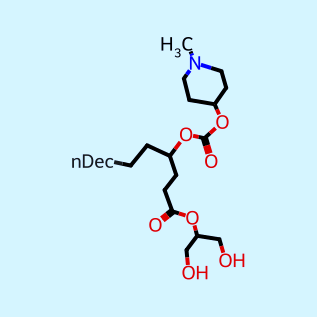 CCCCCCCCCCCCC(CCC(=O)OC(CO)CO)OC(=O)OC1CCN(C)CC1